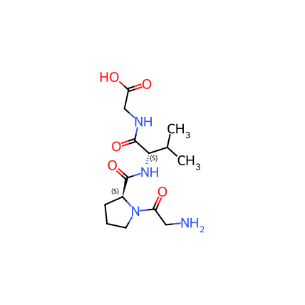 CC(C)[C@H](NC(=O)[C@@H]1CCCN1C(=O)CN)C(=O)NCC(=O)O